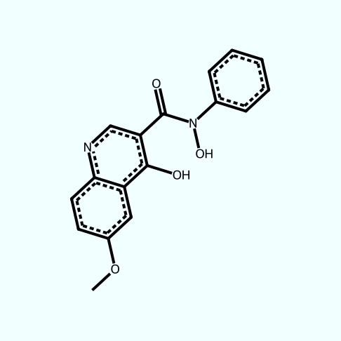 COc1ccc2ncc(C(=O)N(O)c3ccccc3)c(O)c2c1